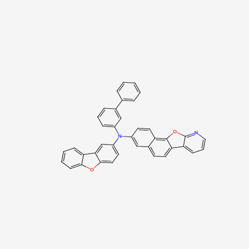 c1ccc(-c2cccc(N(c3ccc4c(ccc5c6cccnc6oc45)c3)c3ccc4oc5ccccc5c4c3)c2)cc1